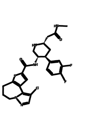 CNC(=O)C[C@@H]1C[C@@H](c2ccc(F)c(F)c2)[C@H](NC(=O)c2cc3c(s2)CCCn2ncc(Cl)c2-3)CN1